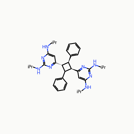 CC(C)Nc1cc([C@H]2C(c3ccccc3)[C@H](c3cc(NC(C)C)nc(NC(C)C)n3)[C@H]2c2ccccc2)nc(NC(C)C)n1